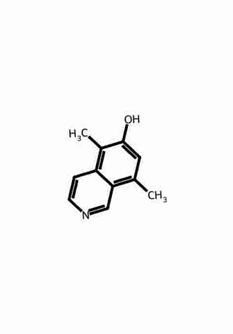 Cc1cc(O)c(C)c2ccncc12